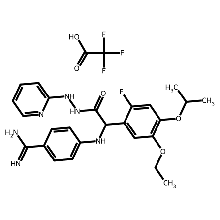 CCOc1cc(C(Nc2ccc(C(=N)N)cc2)C(=O)NNc2ccccn2)c(F)cc1OC(C)C.O=C(O)C(F)(F)F